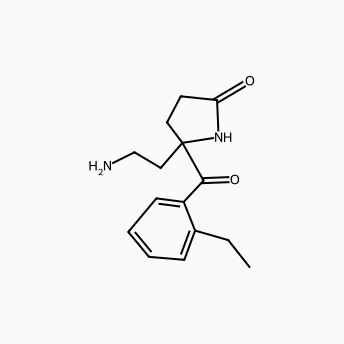 CCc1ccccc1C(=O)C1(CCN)CCC(=O)N1